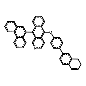 C1=Cc2ccc(-c3ccc(Oc4c5ccccc5c(-c5cc6ccccc6c6ccccc56)c5cnccc45)cc3)cc2CC1